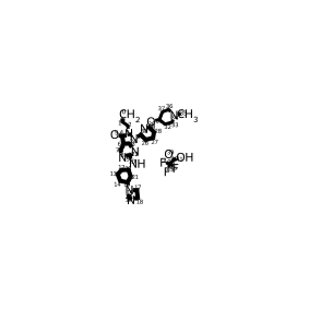 C=CCn1c(=O)c2cnc(Nc3cccc(-n4ccnc4)c3)nc2n1-c1cccc(OC2CCN(C)CC2)n1.O=C(O)C(F)(F)F